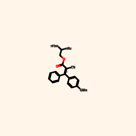 CCCCCCC(CCCC)COC(=O)/C(C#N)=C(\c1ccccc1)c1ccc(OC)cc1